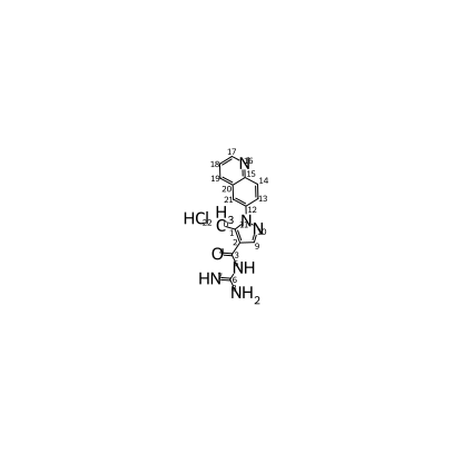 Cc1c(C(=O)NC(=N)N)cnn1-c1ccc2ncccc2c1.Cl